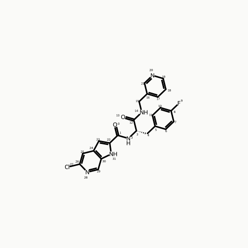 O=C(N[C@@H](Cc1ccc(F)cc1)C(=O)NCc1cccnc1)c1cc2cc(Cl)ncc2[nH]1